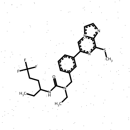 CCC(CCC(F)(F)F)NC(=O)N(CC)Cc1cccc(-c2cn3ccnc3c(SC)n2)c1